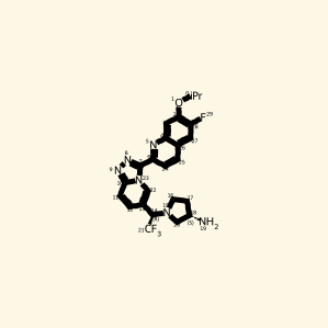 CC(C)Oc1cc2nc(-c3nnc4ccc([C@@H](N5CC[C@H](N)C5)C(F)(F)F)cn34)ccc2cc1F